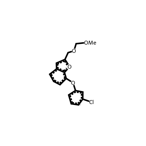 COCOCc1cc2cccc(Oc3cc[c]c(Cl)c3)c2o1